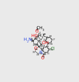 COCCCC[C@@](O)(c1cccc(Cl)c1-c1cccc(C)c1)C1([C@H]2C[C@@H](N)[C@@H](O)C2)CN(C=O)CCO1